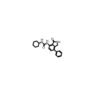 O=C(Nc1ccc(-c2ccccc2)c2c1C(=O)NC2)NC1CCCCC1